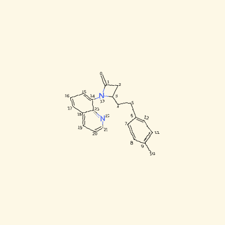 C=C1CC(CCc2ccc(C)cc2)N1c1cccc2cccnc12